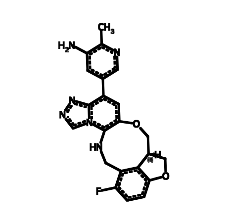 Cc1ncc(-c2cc3c(n4cnnc24)NCc2c(F)ccc4c2[C@H](CO4)CO3)cc1N